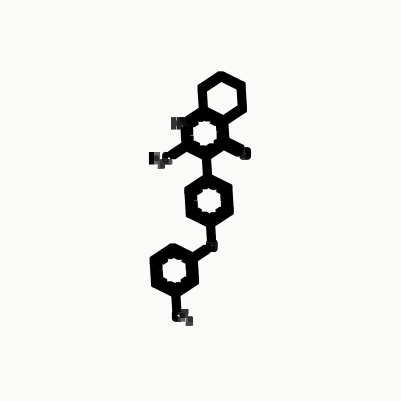 Cc1[nH]c2c(c(=O)c1-c1ccc(Oc3cccc(C(F)(F)F)c3)cc1)CCCC2